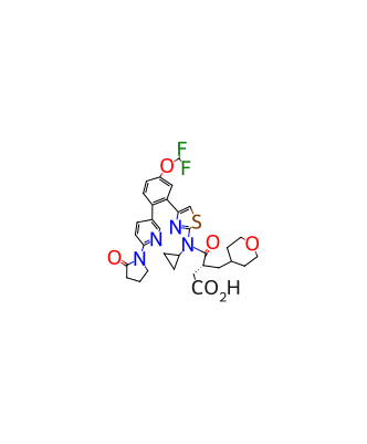 O=C(O)C[C@@H](CC1CCOCC1)C(=O)N(c1nc(-c2cc(OC(F)F)ccc2-c2ccc(N3CCCC3=O)nc2)cs1)C1CC1